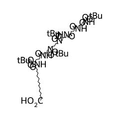 CC(C)(C)OC(=O)NOCCNC(=O)CCC(=O)NCCCN(CCCCN(CCCNC(=O)CCC(NC(=O)CCCCCCCCCCCCCC(=O)O)C(=O)OC(C)(C)C)C(=O)OC(C)(C)C)C(=O)OC(C)(C)C